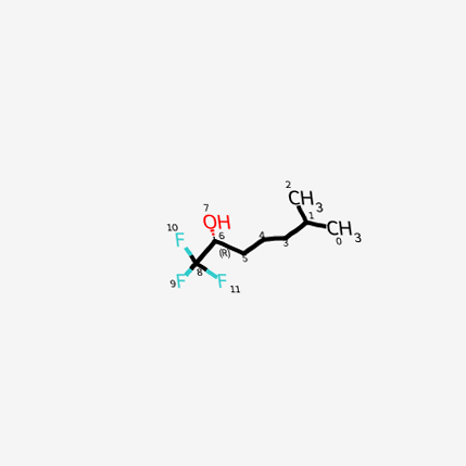 CC(C)CCC[C@@H](O)C(F)(F)F